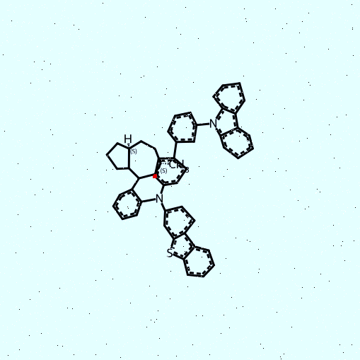 C[C@H]1CC[C@@H]2CCCC2C(c2ccccc2N(c2ccc(-c3cccc(-n4c5ccccc5c5ccccc54)c3)cc2)c2ccc3c(c2)sc2ccccc23)C1